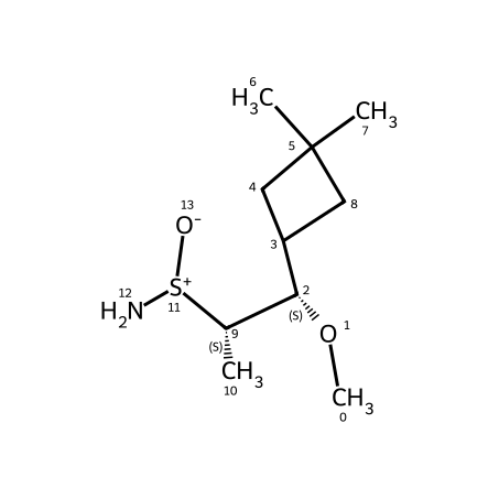 CO[C@@H](C1CC(C)(C)C1)[C@H](C)[S+](N)[O-]